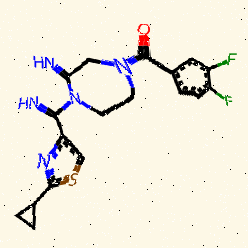 N=C1CN(C(=O)c2ccc(F)c(F)c2)CCN1C(=N)c1csc(C2CC2)n1